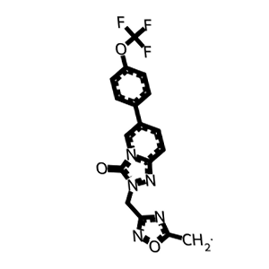 [CH2]c1nc(Cn2nc3ccc(-c4ccc(OC(F)(F)F)cc4)cn3c2=O)no1